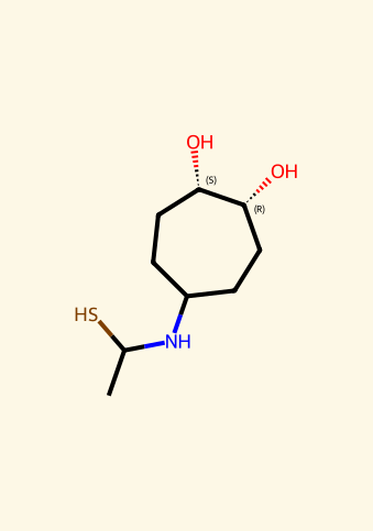 CC(S)NC1CC[C@@H](O)[C@@H](O)CC1